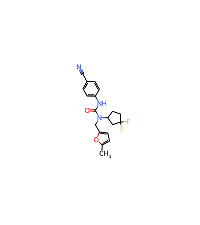 Cc1ccc(CN(C(=O)Nc2ccc(C#N)cc2)C2CCC(F)(F)C2)o1